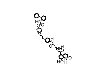 O=C(CCNCC(O)c1ccc(O)c2[nH]c(=O)ccc12)Nc1ccc(CCCN2CCC(OC(=O)Nc3ccccc3-c3ccccc3)CC2)cc1